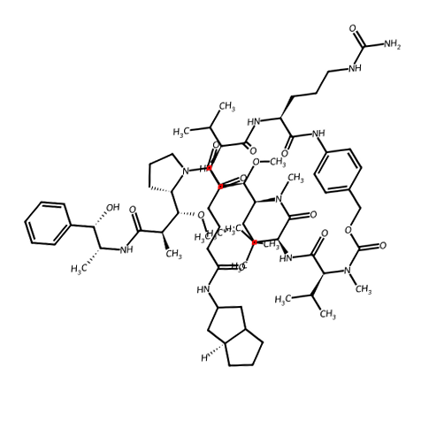 CC[C@H](C)[C@@H]([C@@H](CC(=O)N1CCC[C@H]1[C@H](OC)[C@@H](C)C(=O)N[C@H](C)[C@@H](O)c1ccccc1)OC)N(C)C(=O)[C@@H](NC(=O)[C@H](C(C)C)N(C)C(=O)OCc1ccc(NC(=O)[C@H](CCCNC(N)=O)NC(=O)[C@@H](NC(=O)CCCC(=O)NC2CC3CCC[C@H]3C2)C(C)C)cc1)C(C)C